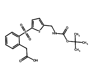 CC(C)(C)OC(=O)NCc1ccc(S(=O)(=O)c2ccccc2CC(=O)O)s1